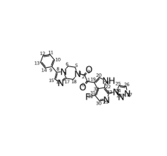 O=C(C(=O)N1CCn2c(-c3ccccc3)cnc2C1)c1c[nH]c2c(-n3ccnn3)ncc(F)c12